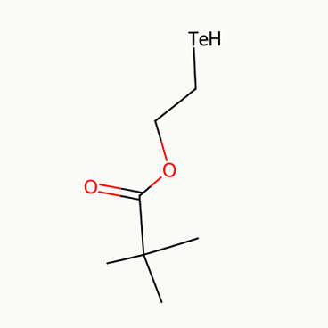 CC(C)(C)C(=O)OCC[TeH]